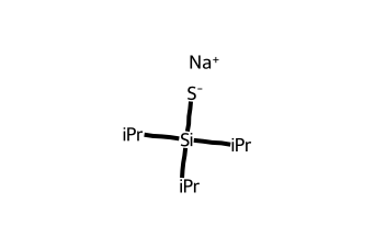 CC(C)[Si]([S-])(C(C)C)C(C)C.[Na+]